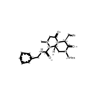 CCCCCCN1C[C@H]2N(C(=O)CN(C)N2C(=O)NCc2ccccc2)[C@@H](CC(C)C)C1=O